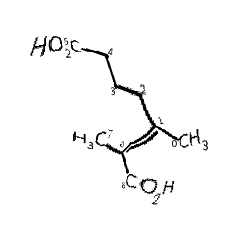 CC(CCCC(=O)O)=C(C)C(=O)O